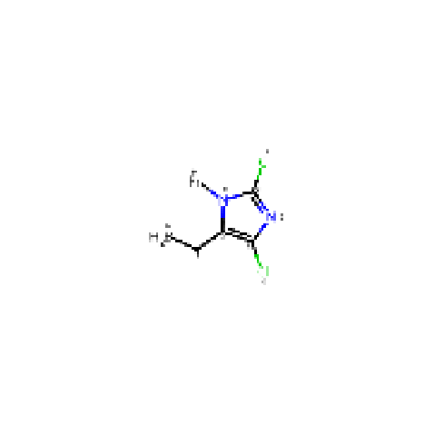 BCc1c(Cl)nc(Cl)n1C(C)C